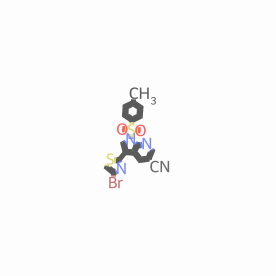 Cc1ccc(S(=O)(=O)n2cc(-c3nc(Br)cs3)c3cc(C#N)cnc32)cc1